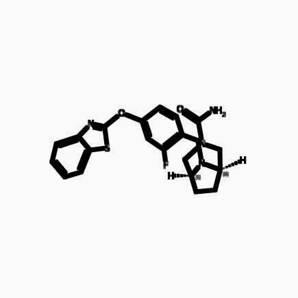 NC(=O)N1C[C@H]2CC[C@@H](C1)N2Cc1ccc(Oc2nc3ccccc3s2)cc1F